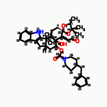 CC1O[C@@]2(CC[C@]3(C)[C@@]4(C)c5[nH]c6ccccc6c5C[C@@H]4C[C@H](OC(=O)N4CCC(Cc5ccccc5)CC4)[C@@]3(O)/C2=C/C=O)OC1(C)C